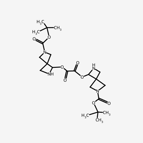 CC(C)(C)OC(=O)N1CC2(CNC2OC(=O)C(=O)OC2NCC23CN(C(=O)OC(C)(C)C)C3)C1